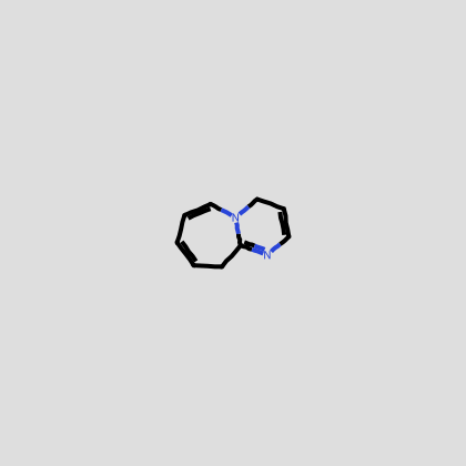 C1=CCC2=NC=CCN2C=C1